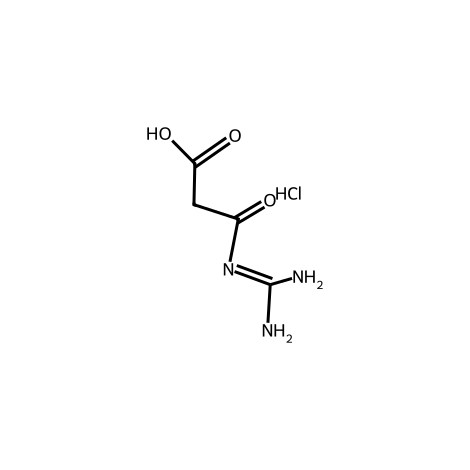 Cl.NC(N)=NC(=O)CC(=O)O